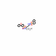 O=C(O)C(CCCCNS(=O)(=O)c1cccc2ccccc12)NS(=O)(=O)c1ccc2oc3ccccc3c2c1